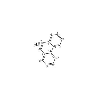 [LiH].[c]1ccc2c(c1)ccc1ccccc12